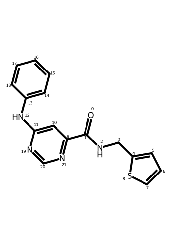 O=C(NCc1cccs1)c1cc(Nc2ccccc2)ncn1